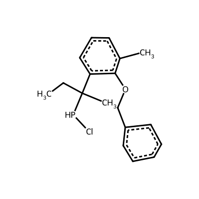 CCC(C)(PCl)c1cccc(C)c1OCc1ccccc1